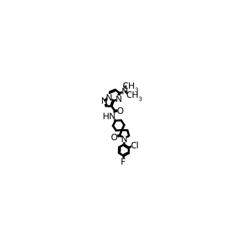 CN(C)c1ccn2ncc(C(=O)NC3CCC4(CC3)CCN(c3ccc(F)cc3Cl)C4=O)c2n1